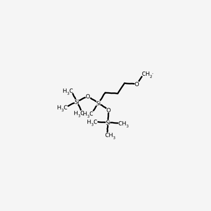 [CH2]OCCC[Si](C)(O[Si](C)(C)C)O[Si](C)(C)C